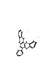 COc1cccc2c(=O)c3c4[nH]c5ccccc5c4c4c(=O)c5cccc(OC)c5c(=O)c4c3c(=O)c12